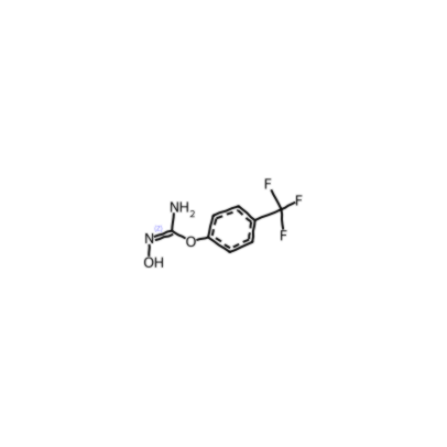 N/C(=N/O)Oc1ccc(C(F)(F)F)cc1